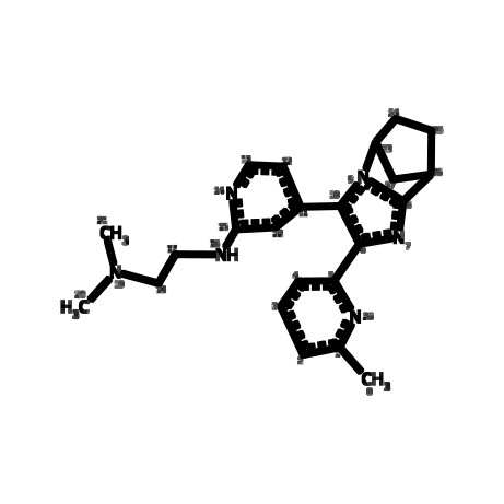 Cc1cccc(-c2nc3n(c2-c2ccnc(NCCN(C)C)c2)C2CCC3C2)n1